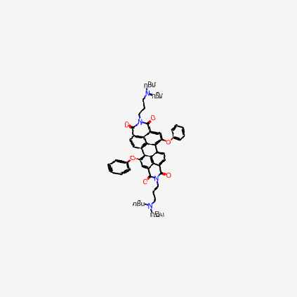 CCCCN(CCCC)CCCN1C(=O)c2ccc3c4c(Oc5ccccc5)cc5c6c(ccc(c7c(Oc8ccccc8)cc(c2c37)C1=O)c64)C(=O)N(CCCN(CCCC)CCCC)C5=O